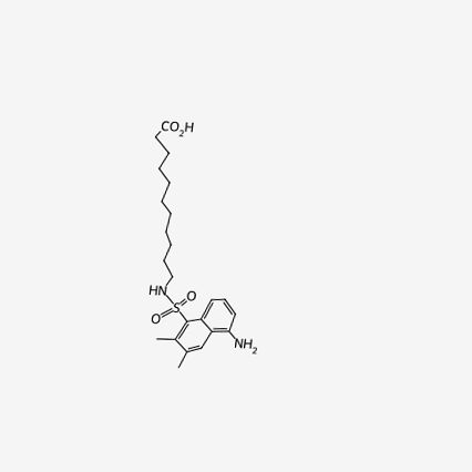 Cc1cc2c(N)cccc2c(S(=O)(=O)NCCCCCCCCCCC(=O)O)c1C